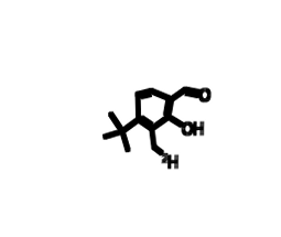 [2H]Cc1c(C(C)(C)C)ccc(C=O)c1O